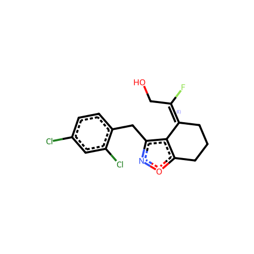 OC/C(F)=C1/CCCc2onc(Cc3ccc(Cl)cc3Cl)c21